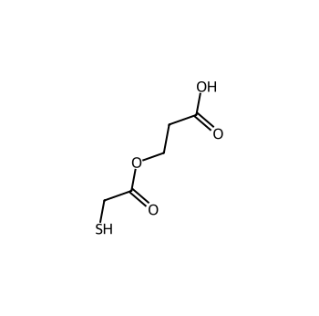 O=C(O)CCOC(=O)CS